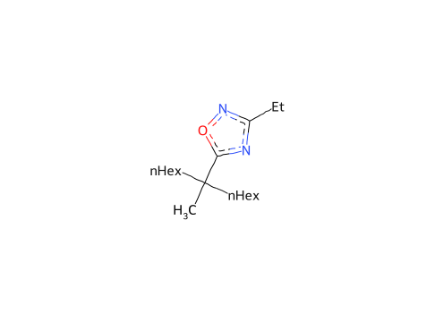 CCCCCCC(C)(CCCCCC)c1nc(CC)no1